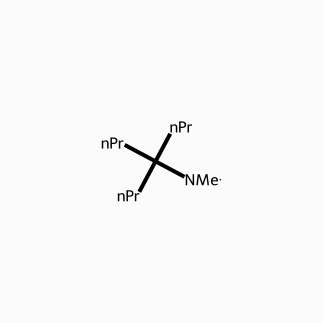 CCCC(CCC)(CCC)[N]C